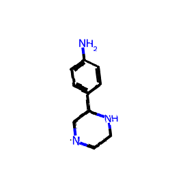 Nc1ccc(C2C[N]CCN2)cc1